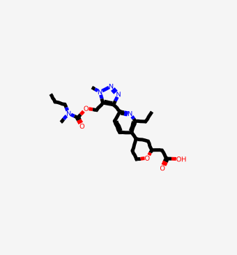 CCCN(C)C(=O)OCc1c(-c2ccc(C3CCOC(CC(=O)O)C3)c(CC)n2)nnn1C